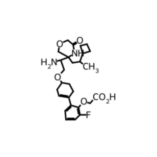 CC(CC1(C(N)COC2CC=C(c3cccc(F)c3OCC(=O)O)CC2)COCC(=O)N1)C1CCC1